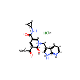 CNC(=O)c1cc(C(=O)NC2CC2)cn(Cc2c[nH]c3ncccc23)c1=O.Cl